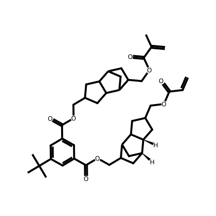 C=CC(=O)OCC1CC2C3C[C@@H](CC3COC(=O)c3cc(C(=O)OCC4CC5C6CC(COC(=O)C(=C)C)C(C6)C5C4)cc(C(C)(C)C)c3)[C@H]2C1